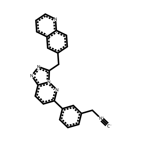 [C-]#[N+]Cc1cccc(-c2ccc3nnc(Cc4ccc5ncccc5c4)n3n2)c1